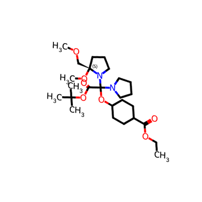 CCOC(=O)C1CCC(OC(C(=O)OC(C)(C)C)(N2CCCC2)N2CCC[C@@]2(COC)OC)CC1